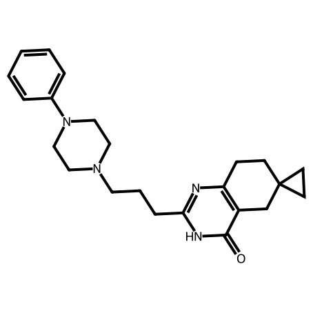 O=c1[nH]c(CCCN2CCN(c3ccccc3)CC2)nc2c1CC1(CC2)CC1